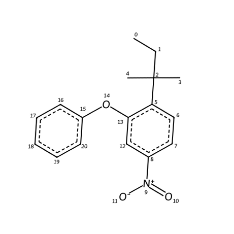 CCC(C)(C)c1ccc([N+](=O)[O-])cc1Oc1ccccc1